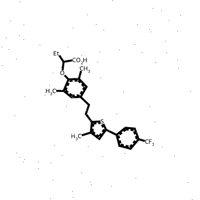 CCC(Oc1c(C)cc(CCc2sc(-c3ccc(C(F)(F)F)cc3)cc2C)cc1C)C(=O)O